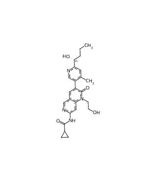 CCC[C@@H](O)c1cc(C)c(-c2cc3cnc(NC(=O)C4CC4)cc3n(CCO)c2=O)cn1